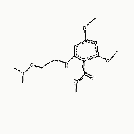 COC(=O)c1c(NCCOC(C)C)cc(OC)cc1OC